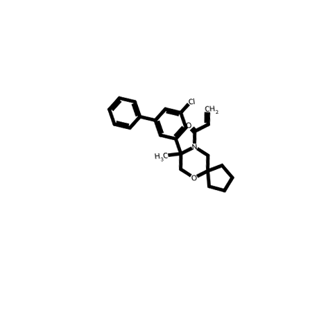 C=CC(=O)N1CC2(CCCC2)OCC1(C)c1cc(Cl)cc(-c2ccccc2)c1